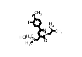 COc1ccc(-c2cc(CN(C)C)c(=O)n(CC(C)C)n2)cc1F.Cl